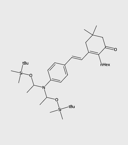 CCCCCCC1=C(C=Cc2ccc(N(C(C)O[Si](C)(C)C(C)(C)C)C(C)O[Si](C)(C)C(C)(C)C)cc2)CC(C)(C)CC1=O